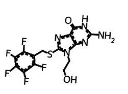 Nc1nc2c(nc(SCc3c(F)c(F)c(F)c(F)c3F)n2CCO)c(=O)[nH]1